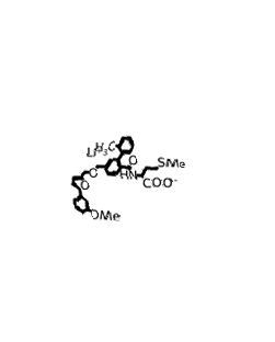 COc1cccc(-c2ccc(COCc3ccc(C(=O)N[C@@H](CCSC)C(=O)[O-])c(-c4ccccc4C)c3)o2)c1.[Li+]